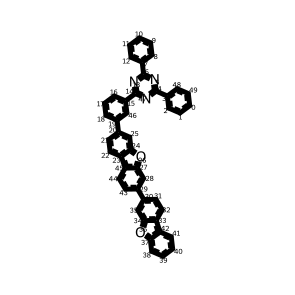 c1ccc(-c2nc(-c3ccccc3)nc(-c3cccc(-c4ccc5c(c4)oc4cc(-c6ccc7c(c6)oc6ccccc67)ccc45)c3)n2)cc1